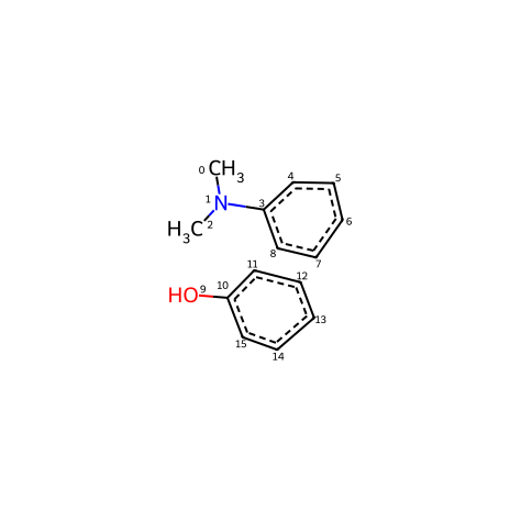 CN(C)c1ccccc1.Oc1ccccc1